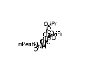 CCCCCOC(=O)Nc1ccn(C2OC(COC(=O)C(C)C)C(OC(=O)C(C)C)C2(F)F)c(=O)n1